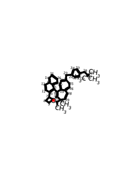 CC1OC2=C(c3c(C4CCC4)ccc4ccccc34)C3=CC=C(Cc4ccc(CC(C)(C)C)cc4)CC=C3C=CC21C